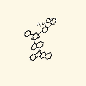 CC1(C)c2ccccc2-c2ccc(-c3nc(-c4ccccc4)nc(-c4cccc5c(-n6c7ccccc7c7cc8ccccc8cc76)cccc45)n3)cc21